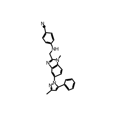 Cc1cc(-c2ccccc2)n(-c2ccc3c(c2)nc(CNc2ccc(C#N)cc2)n3C)n1